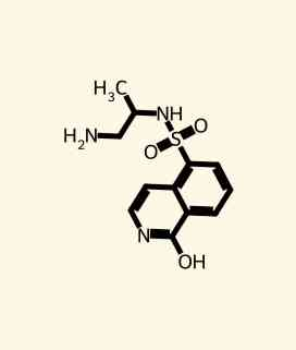 CC(CN)NS(=O)(=O)c1cccc2c(O)nccc12